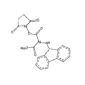 COC(=O)N(NC1c2ccccc2-c2ccccc21)C(=O)ON1C(=O)CCC1=O